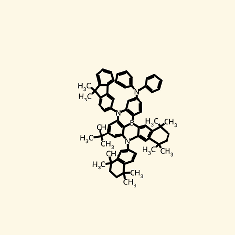 CC(C)(C)c1cc2c3c(c1)N(c1ccc4c(c1)C(C)(C)CCC4(C)C)c1cc4c(cc1B3c1ccc(N(c3ccccc3)c3ccccc3)cc1N2c1ccc2c(c1)-c1ccccc1C2(C)C)C(C)(C)CCC4(C)C